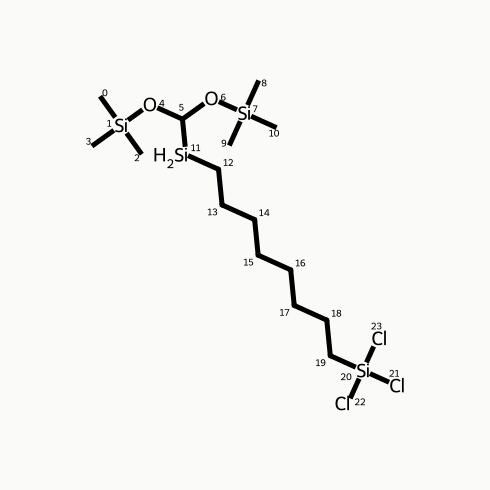 C[Si](C)(C)OC(O[Si](C)(C)C)[SiH2]CCCCCCCC[Si](Cl)(Cl)Cl